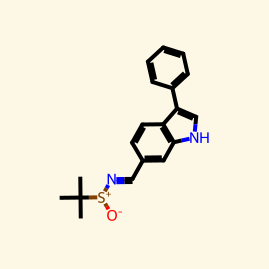 CC(C)(C)[S+]([O-])/N=C/c1ccc2c(-c3ccccc3)c[nH]c2c1